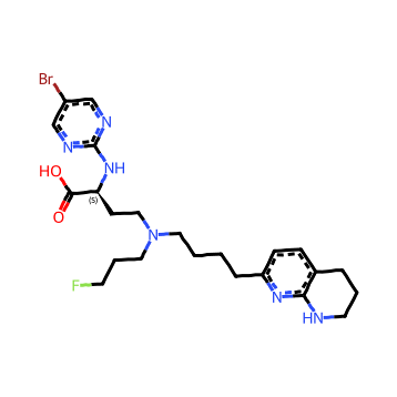 O=C(O)[C@H](CCN(CCCF)CCCCc1ccc2c(n1)NCCC2)Nc1ncc(Br)cn1